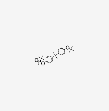 CC(C)(C)Oc1ccc(C(C)(C)c2ccc(OP(C)(=O)C(C)(C)C)cc2)cc1